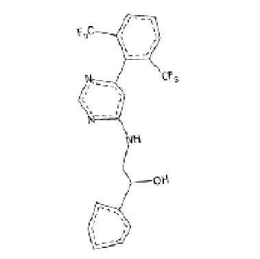 OC(CNc1cc(-c2c(C(F)(F)F)cccc2C(F)(F)F)ncn1)c1ccccc1